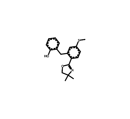 CSc1ccc(C2=NC(C)(C)CO2)c(Cc2ccccc2O)c1